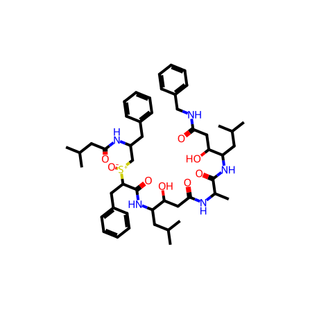 CC(C)CC(=O)NC(Cc1ccccc1)C[S+]([O-])C(Cc1ccccc1)C(=O)NC(CC(C)C)C(O)CC(=O)NC(C)C(=O)NC(CC(C)C)C(O)CC(=O)NCc1ccccc1